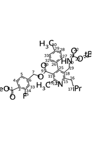 COC(=O)c1ccc(COC(=O)c2c(C)nc(CC(C)C)c(CNC(=O)OC(C)(C)C)c2-c2ccc(C)cc2)cc1F